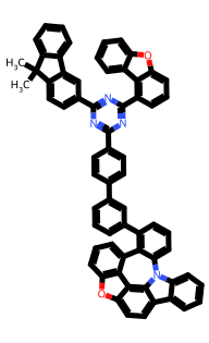 CC1(C)c2ccccc2-c2cc(-c3nc(-c4ccc(-c5cccc(-c6cccc7c6c6cccc8oc9ccc%10c%11ccccc%11n7c%10c9c86)c5)cc4)nc(-c4cccc5oc6ccccc6c45)n3)ccc21